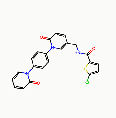 O=C(NCc1ccc(=O)n(-c2ccc(-n3ccccc3=O)cc2)c1)c1ccc(Cl)s1